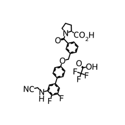 N#CCNc1cc(-c2ccc(OCc3cccc(C(=O)N4CCC[C@H]4C(=O)O)c3)cc2)cc(F)c1F.O=C(O)C(F)(F)F